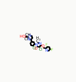 Cc1nc(OCc2ncc(F)cc2F)c(Cl)c(=O)n1-c1cc(-c2ccnc(C(C)(C)O)n2)ccc1Cl